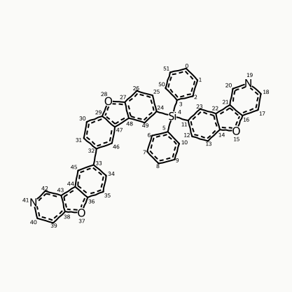 c1ccc([Si](c2ccccc2)(c2ccc3oc4ccncc4c3c2)c2ccc3oc4ccc(-c5ccc6oc7ccncc7c6c5)cc4c3c2)cc1